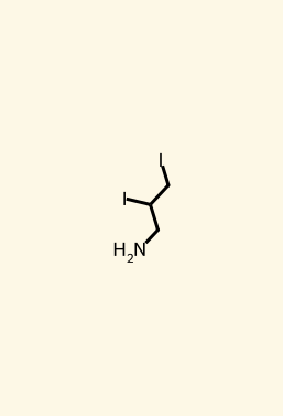 NCC(I)CI